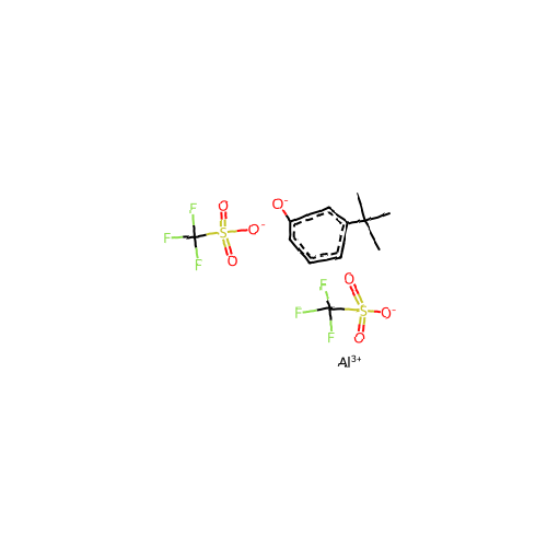 CC(C)(C)c1cccc([O-])c1.O=S(=O)([O-])C(F)(F)F.O=S(=O)([O-])C(F)(F)F.[Al+3]